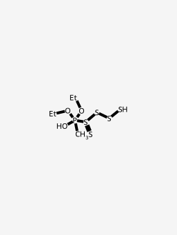 CCOP(C)(O)(OCC)S(=S)SSS